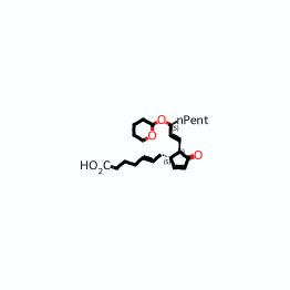 CCCCC[C@@H](C=C[C@H]1C(=O)C=C[C@@H]1CC=CCCCC(=O)O)OC1CCCCO1